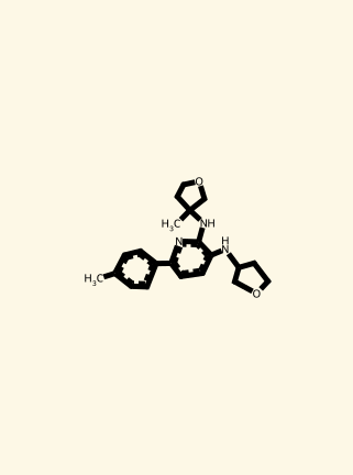 Cc1ccc(-c2ccc(NC3CCOC3)c(NC3(C)CCOC3)n2)cc1